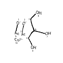 CC(=O)[O-].CC(=O)[O-].OCC(O)CO.[Co+2]